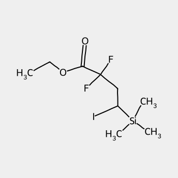 CCOC(=O)C(F)(F)CC(I)[Si](C)(C)C